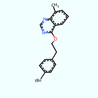 Cc1cccc2c(OCCc3ccc(C(C)(C)C)cc3)ncnc12